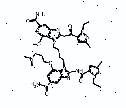 CCn1nc(C)cc1C(=O)Cc1nc2cc(C(N)=O)cc(OC)c2n1CCCCn1c(NC(=O)c2cc(C)nn2CC)nc2cc(C(N)=O)cc(OCCCN(C)C)c21